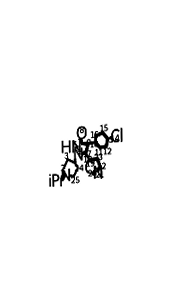 CC(C)N1CCC(n2[nH]c(=O)c(-c3ccc(Cl)cc3)c2-c2ccncc2)CC1